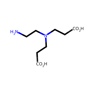 NCCN(CCC(=O)O)CCC(=O)O